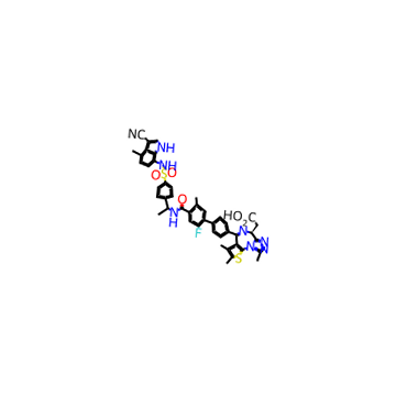 Cc1cc(-c2ccc(C3=N[C@@H](CC(=O)O)c4nnc(C)n4-c4sc(C)c(C)c43)cc2)c(F)cc1C(=O)NC(C)c1ccc(S(=O)(=O)Nc2ccc(C)c3c(C#N)c[nH]c23)cc1